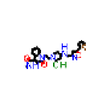 CNC(=O)c1cc(=O)n(CCN2CCC(NCc3cc(-c4cccs4)on3)CC2)c2ccccc12.Cl